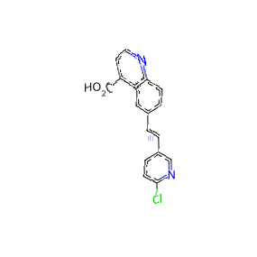 O=C(O)c1ccnc2ccc(/C=C/c3ccc(Cl)nc3)cc12